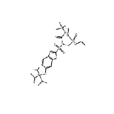 CCOP(=O)(CN(C(=O)OC(C)(C)C)S(=O)(=O)c1cc2ccc(O[Si](C(C)C)(C(C)C)C(C)C)cc2s1)OCC